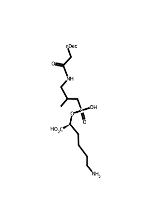 CCCCCCCCCCCC(=O)NCC(C)CP(=O)(O)O[C@@H](CCCCN)C(=O)O